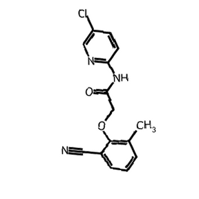 Cc1cccc(C#N)c1OCC(=O)Nc1ccc(Cl)cn1